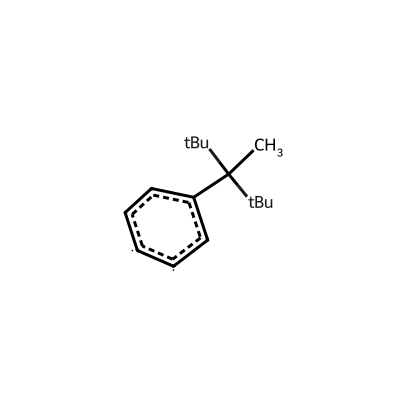 CC(C)(C)C(C)(c1c[c][c]cc1)C(C)(C)C